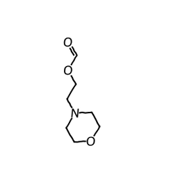 O=COCCN1CCOCC1